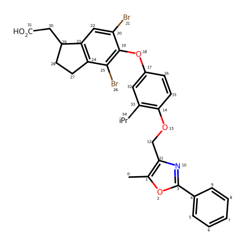 Cc1oc(-c2ccccc2)nc1COc1ccc(Oc2c(Br)cc3c(c2Br)CCC3CC(=O)O)cc1C(C)C